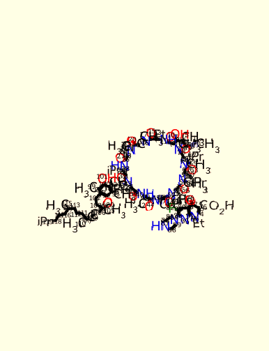 C/C=C/C[C@@H](C)[C@@H](O)[C@H]1C(=O)N[C@@H](CC)C(=O)N(C)CC(=O)N(C)[C@@H](CC(C)C)C(=O)N[C@@H](C(C)C)C(=O)N(C)[C@@H](CC(C)C)C(=O)N[C@@H](C)C(=O)N[C@H](C)C(=O)N(C)[C@@H](CC(C)C)C(=O)N(C)[C@@H](CC(C)C)C(=O)N(C)[C@@H](C(C)C)C(=O)N1C.CCn1cc(C(=O)O)c(=O)c2cc(F)c(N3CCNCC3)nc21.Cc1c(C)c2c(c(C)c1O)CC[C@@](C)(CCC[C@H](C)CCC[C@H](C)CCCC(C)C)O2